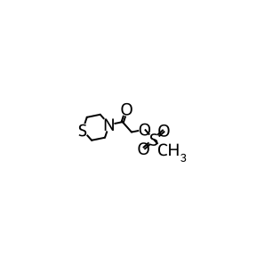 CS(=O)(=O)OCC(=O)N1CCSCC1